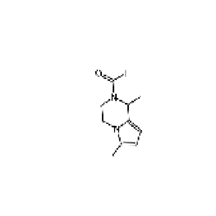 Cc1ccc2n1CCN(C(=O)I)C2C